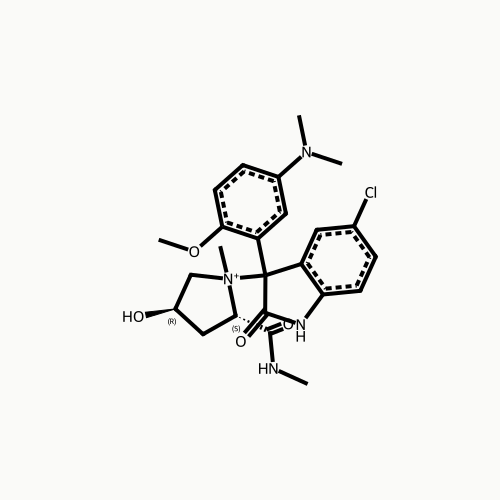 CNC(=O)[C@@H]1C[C@@H](O)C[N+]1(C)C1(c2cc(N(C)C)ccc2OC)C(=O)Nc2ccc(Cl)cc21